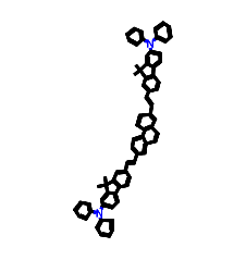 CC1(C)c2cc(/C=C/c3ccc4c(ccc5cc(/C=C/c6ccc7c(c6)C(C)(C)c6cc(N(c8ccccc8)c8ccccc8)ccc6-7)ccc54)c3)ccc2-c2ccc(N(c3ccccc3)c3ccccc3)cc21